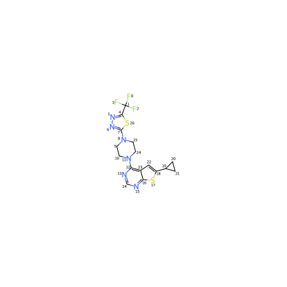 FC(F)(F)c1nnc(N2CCN(c3ncnc4sc(C5CC5)cc34)CC2)s1